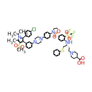 Cc1c(S(C)(=O)=O)c(-c2cccc(N3CCN(c4ccc(N5CCO[P@@]5(=O)c5ccc(N[C@H](CCN6CCC(C(=O)O)CC6)CSc6ccccc6)c(S(=O)(=O)C(F)(F)F)c5)cc4)CC3)c2)c(-c2ccc(Cl)cc2)n1C(C)C